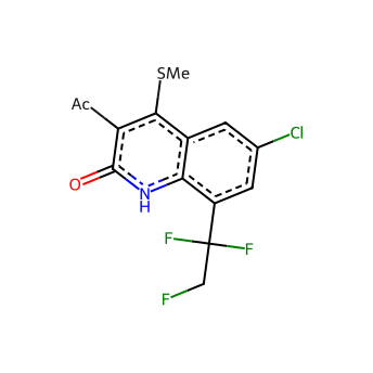 CSc1c(C(C)=O)c(=O)[nH]c2c(C(F)(F)CF)cc(Cl)cc12